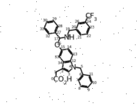 O=C(O)Cc1cn(Cc2ccccc2)c2ccc(OC(NCc3cccc(C(F)(F)F)c3)c3ccccc3)cc12